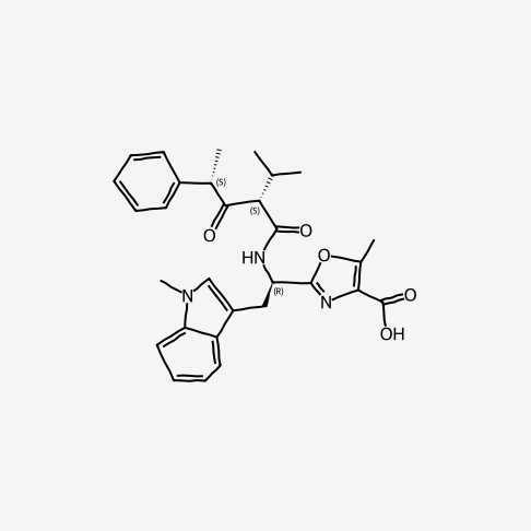 Cc1oc([C@@H](Cc2cn(C)c3ccccc23)NC(=O)[C@H](C(=O)[C@@H](C)c2ccccc2)C(C)C)nc1C(=O)O